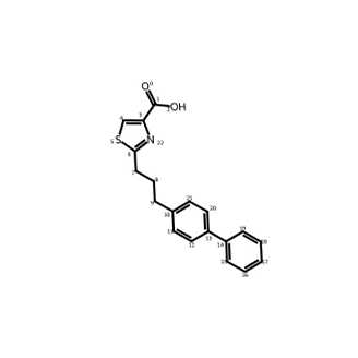 O=C(O)c1csc(CCCc2ccc(-c3ccccc3)cc2)n1